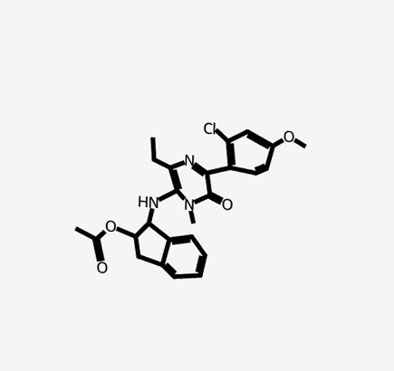 CCc1nc(-c2ccc(OC)cc2Cl)c(=O)n(C)c1NC1c2ccccc2CC1OC(C)=O